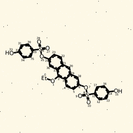 CCOc1c2ccc(OS(=O)(=O)c3ccc(O)cc3)cc2cc2ccc(OS(=O)(=O)c3ccc(O)cc3)cc12